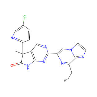 CC(C)Cc1nc(-c2ncc3c(n2)NC(=O)C3(C)c2ccc(Cl)cn2)cn2ccnc12